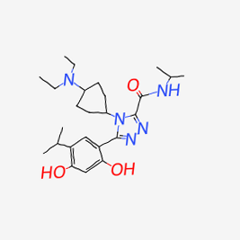 CCN(CC)C1CCC(n2c(C(=O)NC(C)C)nnc2-c2cc(C(C)C)c(O)cc2O)CC1